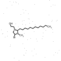 CCCCCCCCCCCCC1N(CCO)CC(Br)N1C